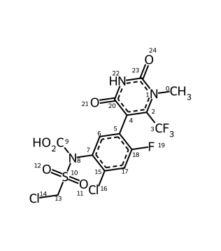 Cn1c(C(F)(F)F)c(-c2cc(N(C(=O)O)S(=O)(=O)CCl)c(Cl)cc2F)c(=O)[nH]c1=O